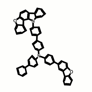 c1ccc(-c2ccc(N(c3ccc(-c4ccc(-n5c6ccccc6c6ccc7oc8ccccc8c7c65)cc4)cc3)c3ccc(-c4ccc5oc6ccccc6c5c4)cc3)cc2)cc1